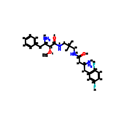 CCOC(C(=O)NCC(C)(C)CNC(=O)CC(N)Cc1cc(F)ccc1F)C(N)Cc1ccccc1